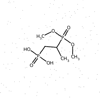 COP(=O)(OC)C(C)CP(=O)(O)O